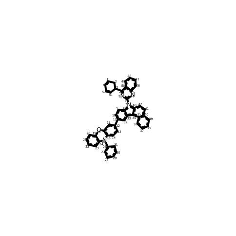 C1=CCC(c2nc(-n3c4ccc(-c5ccc6c(c5)Oc5ccccc5N6c5ccccc5)cc4c4c5ccccc5ccc43)nc3ccccc23)C=C1